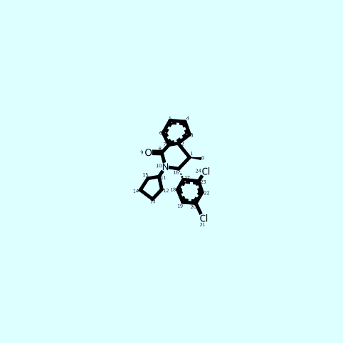 C[C@@H]1c2ccccc2C(=O)N(C2CCCC2)[C@H]1c1ccc(Cl)cc1Cl